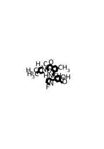 Cc1cc(C(C)Nc2ccc(F)nc2-c2ccc(O)c(C=O)c2)c2oc(N3CCC(C)(C)CC3)c(C)c(=O)c2c1